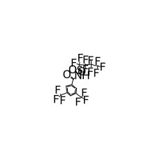 O=C(NS(=O)(=O)C(F)(F)C(F)(F)C(F)(F)C(F)(F)F)c1cc(C(F)(F)F)cc(C(F)(F)F)c1